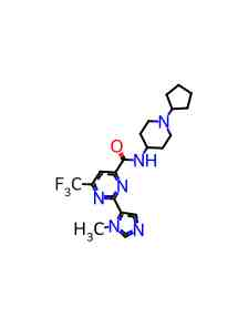 Cn1cncc1-c1nc(C(=O)NC2CCN(C3CCCC3)CC2)cc(C(F)(F)F)n1